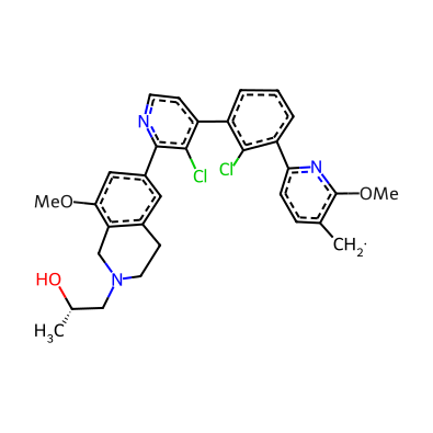 [CH2]c1ccc(-c2cccc(-c3ccnc(-c4cc5c(c(OC)c4)CN(C[C@H](C)O)CC5)c3Cl)c2Cl)nc1OC